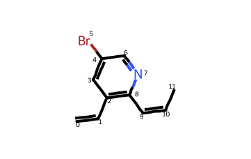 C=Cc1cc(Br)cnc1/C=C\C